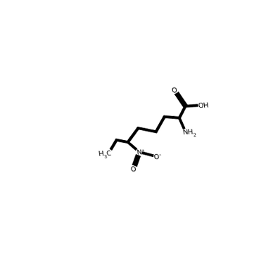 CCC(CCCC(N)C(=O)O)[N+](=O)[O-]